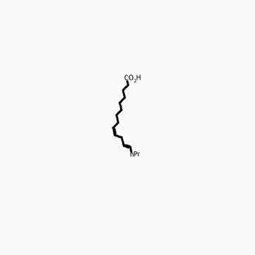 CCCC=CC/C=C\CCCCCCCC(=O)O